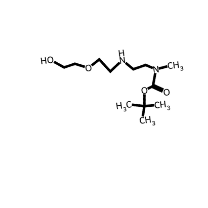 CN(CCNCCOCCO)C(=O)OC(C)(C)C